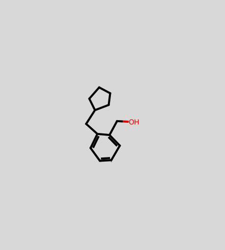 OCc1c[c]ccc1CC1CCCC1